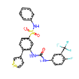 O=C(Nc1ccc(F)c(C(F)(F)F)c1)Nc1cc(S(=O)(=O)Nc2ccccc2)ccc1-c1ccsc1